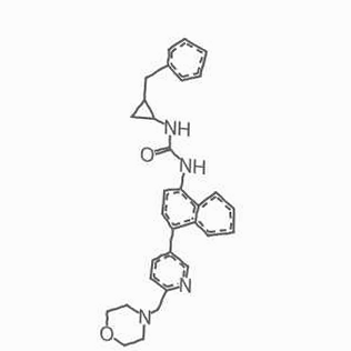 O=C(Nc1ccc(-c2ccc(CN3CCOCC3)nc2)c2ccccc12)NC1CC1Cc1ccccc1